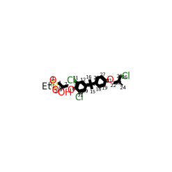 CCS(=O)(=O)C[C@H](O)COc1c(Cl)cc(C(C)(C)c2ccc(OC[C@H](C)CCl)cc2)cc1Cl